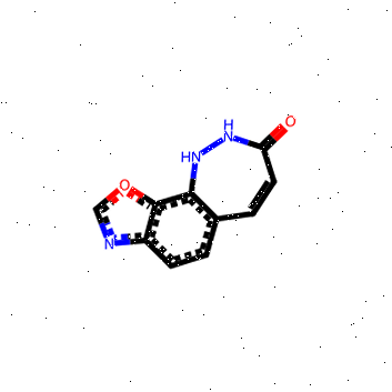 O=C1C=Cc2ccc3ncoc3c2NN1